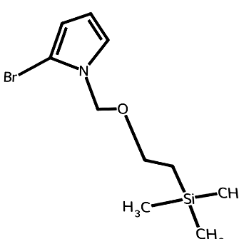 C[Si](C)(C)CCOCn1cccc1Br